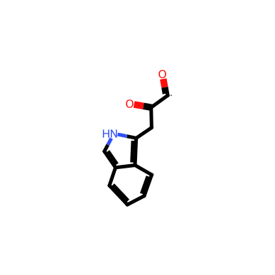 O=[C]C(=O)Cc1[nH]cc2ccccc12